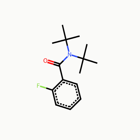 CC(C)(C)N(C(=O)c1ccccc1F)C(C)(C)C